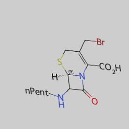 CCCCCNC1C(=O)N2C(C(=O)O)=C(CBr)CS[C@H]12